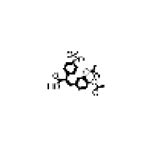 CC(=O)Oc1ccc(/C=C(/C(=O)O)c2ccc(S(C)(=O)=O)cc2)cc1OC(C)=O